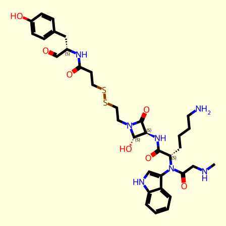 CNCC(=O)N(c1c[nH]c2ccccc12)[C@@H](CCCCN)C(=O)N[C@@H]1C(=O)N(CCSSCCC(=O)N[C@H](C=O)Cc2ccc(O)cc2)[C@H]1O